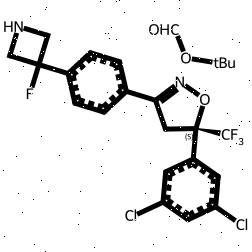 CC(C)(C)OC=O.FC1(c2ccc(C3=NO[C@@](c4cc(Cl)cc(Cl)c4)(C(F)(F)F)C3)cc2)CNC1